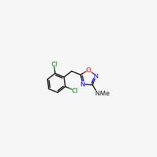 CNc1noc(Cc2c(Cl)cccc2Cl)n1